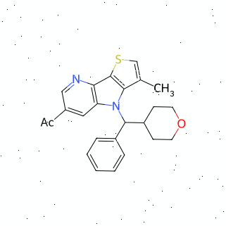 CC(=O)c1cnc2c3scc(C)c3n(C(c3ccccc3)C3CCOCC3)c2c1